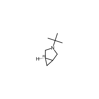 CC(C)(C)N1CC2C[C@H]2C1